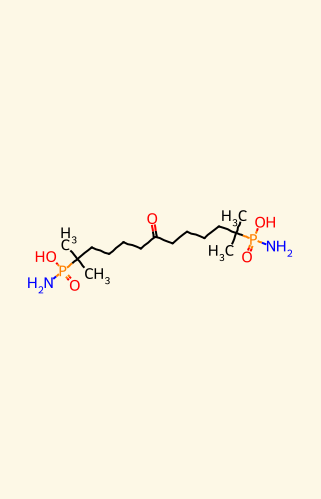 CC(C)(CCCCC(=O)CCCCC(C)(C)P(N)(=O)O)P(N)(=O)O